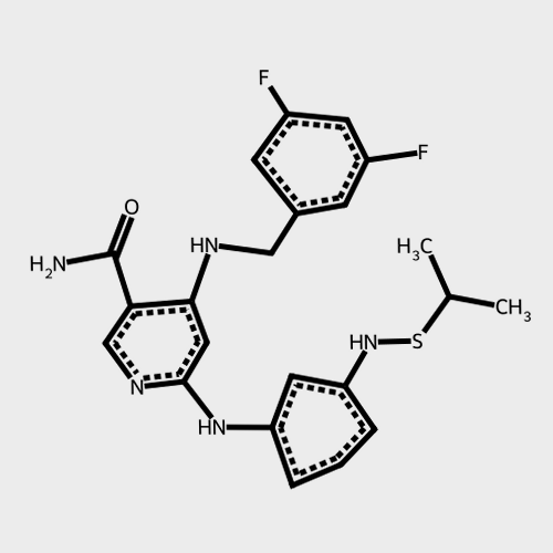 CC(C)SNc1cccc(Nc2cc(NCc3cc(F)cc(F)c3)c(C(N)=O)cn2)c1